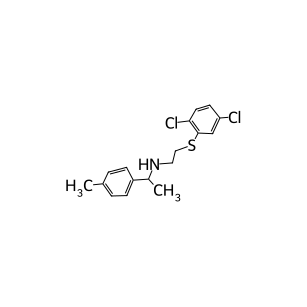 Cc1ccc(C(C)NCCSc2cc(Cl)ccc2Cl)cc1